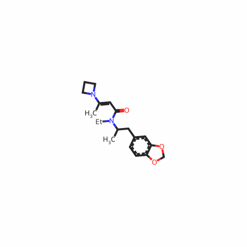 CCN(C(=O)/C=C(\C)N1CCC1)C(C)Cc1ccc2c(c1)OCO2